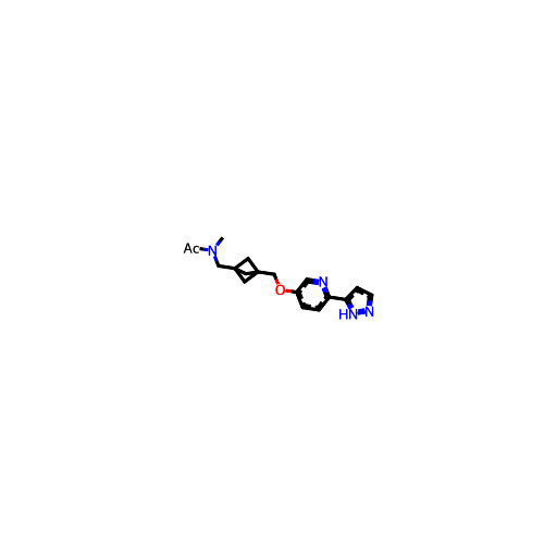 CC(=O)N(C)CC12CC(COc3ccc(-c4ccn[nH]4)nc3)(C1)C2